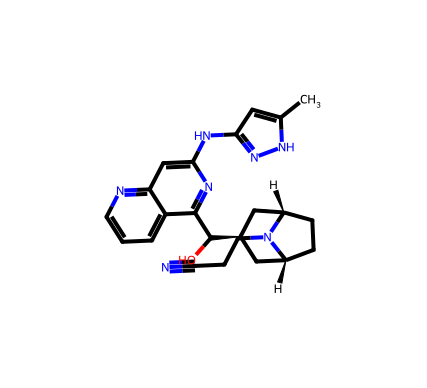 Cc1cc(Nc2cc3ncccc3c(C(O)[C@@H]3C[C@H]4CC[C@@H](C3)N4CCC#N)n2)n[nH]1